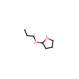 CCCOC1CCCO1